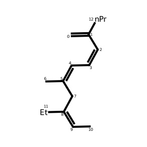 C=C(/C=C\C=C(\C)C/C(=C\C)CC)CCC